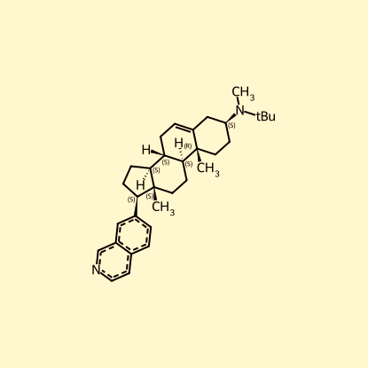 CN([C@H]1CC[C@@]2(C)C(=CC[C@H]3[C@@H]4CC[C@H](c5ccc6ccncc6c5)[C@@]4(C)CC[C@@H]32)C1)C(C)(C)C